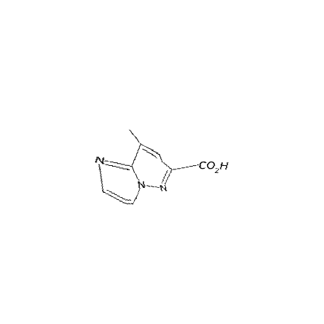 Cc1cc(C(=O)O)nn2ccnc12